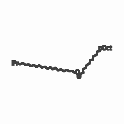 CCCCCCCCC=CCCCCCCCCCC(=O)OCCCCCCCCCCCCCCCCCCCCCC(C)C